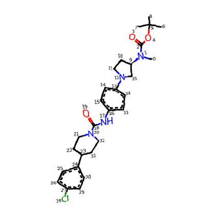 CN(C(=O)OC(C)(C)C)[C@@H]1CCN(c2ccc(NC(=O)N3CCC(c4ccc(Cl)cc4)CC3)cc2)C1